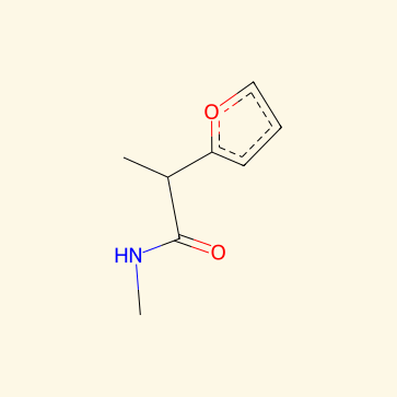 CNC(=O)C(C)c1ccco1